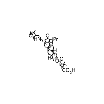 Cc1noc(C)c1CNCC[C@@]12CC[C@]3(C)[C@H](CC[C@@H]4[C@@]5(C)CC[C@H](OC(=O)[C@H]6C[C@@H](C(=O)O)C6(C)C)C(C)(C)[C@@H]5CC[C@]43C)C1=C(C(C)C)C(=O)C2